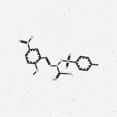 COc1ccc([N+](=O)[O-])cc1C=NN(OS(=O)(=O)c1ccc(C)cc1)C(=N)N